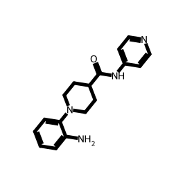 Nc1ccccc1N1CCC(C(=O)Nc2ccncc2)CC1